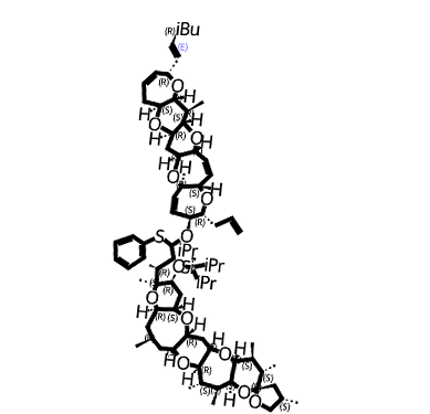 C=CC[C@H]1O[C@H]2C=C[C@H]3O[C@H]4[C@H](C)[C@H]5O[C@@H](/C=C/[C@H](C)CC)C=CC[C@@H]5O[C@@H]4C[C@@H]3O[C@@H]2C=C[C@@H]1OC(C[C@@H](C)[C@]1(C)O[C@@H]2C[C@H](C)C[C@@H]3O[C@@H]4[C@@H](C)[C@H](C)[C@@H]5O[C@]6(C[C@H](C)CO6)[C@@H](C)[C@H](C)[C@H]5O[C@H]4C[C@H]3O[C@H]2C[C@H]1O[Si](C(C)C)(C(C)C)C(C)C)Sc1ccccc1